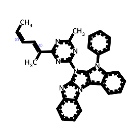 C/C=C\C=C(/C)c1nc(C)nc(-n2c3c(c4ccccc4n3-c3ccccc3)n3c4ccccc4nc23)n1